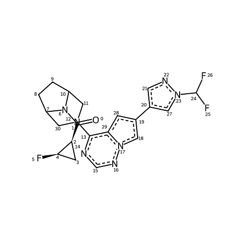 O=C([C@H]1C[C@H]1F)N1C2CCC1CN(c1ncnn3cc(-c4cnn(C(F)F)c4)cc13)C2